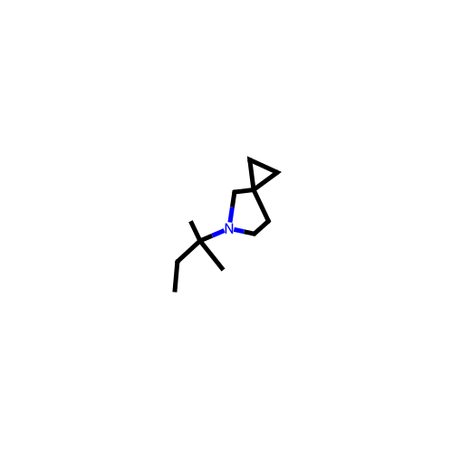 CCC(C)(C)N1CCC2(CC2)C1